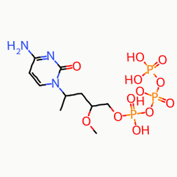 COC(COP(=O)(O)OP(=O)(O)OP(=O)(O)O)CC(C)n1ccc(N)nc1=O